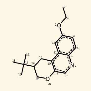 CCOc1ccc2ncc3c(c2c1)CC(C(C)(C)C)CO3